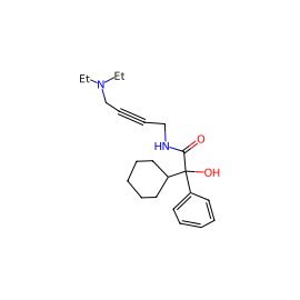 CCN(CC)CC#CCNC(=O)C(O)(c1ccccc1)C1CCCCC1